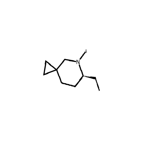 CC[C@H]1CCC2(CC2)CN1I